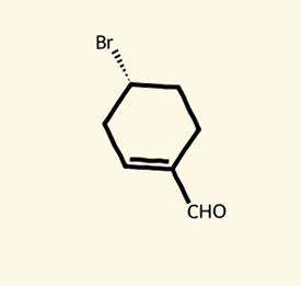 O=CC1=CC[C@H](Br)CC1